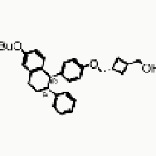 CC(C)COc1ccc2c(c1)CC[C@H](c1ccccc1)[C@@H]2c1ccc(OC[C@H]2C[C@H](CO)C2)cc1